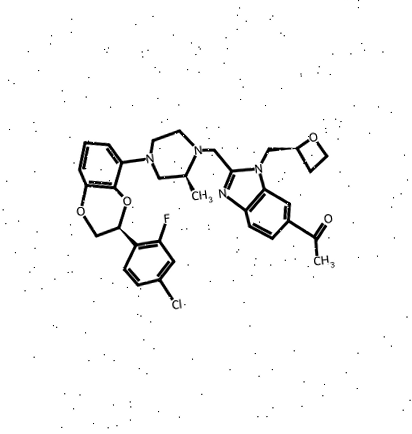 CC(=O)c1ccc2nc(CN3CCN(c4cccc5c4O[C@@H](c4ccc(Cl)cc4F)CO5)C[C@@H]3C)n(C[C@@H]3CCO3)c2c1